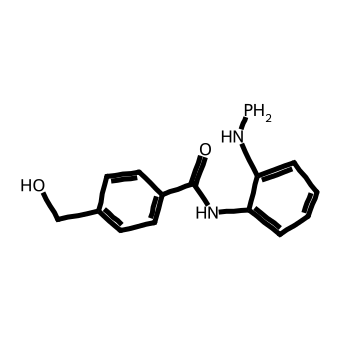 O=C(Nc1ccccc1NP)c1ccc(CO)cc1